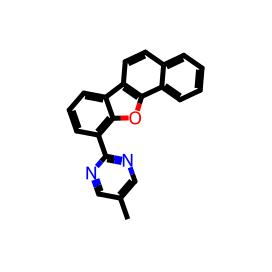 Cc1cnc(-c2cccc3c2oc2c4ccccc4ccc32)nc1